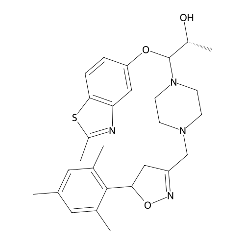 Cc1cc(C)c(C2CC(CN3CCN(C(Oc4ccc5sc(C)nc5c4)[C@@H](C)O)CC3)=NO2)c(C)c1